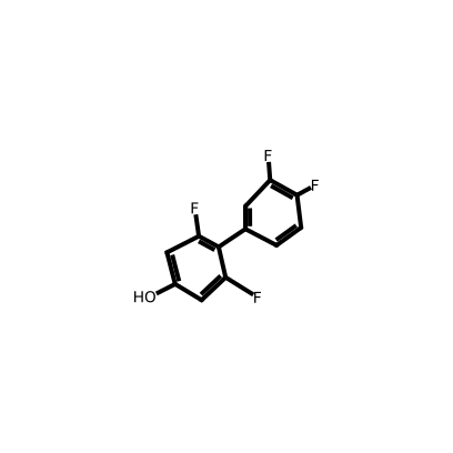 Oc1cc(F)c(-c2ccc(F)c(F)c2)c(F)c1